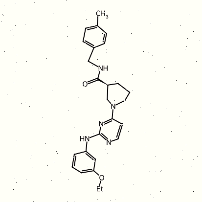 CCOc1cccc(Nc2nccc(N3CCC[C@H](C(=O)NCc4ccc(C)cc4)C3)n2)c1